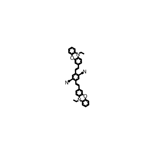 CCN1c2ccccc2Oc2cc(C=Cc3cc(C#N)c(C=Cc4ccc5c(c4)Oc4ccccc4N5CC)cc3C#N)ccc21